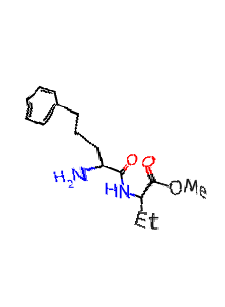 CCC(NC(=O)C(N)CCCc1ccccc1)C(=O)OC